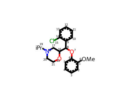 COc1ccccc1OC(c1ccccc1Cl)C1CN(C(C)C)CCO1